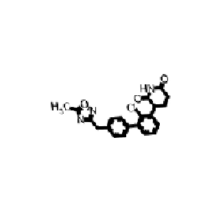 Cc1nc(Cc2ccc(-c3cccc(C4CCC(=O)NC4=O)c3Cl)cc2)no1